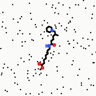 COC(=O)CCCCCCCNC(=O)CCCC(C)CN1CCCCC1